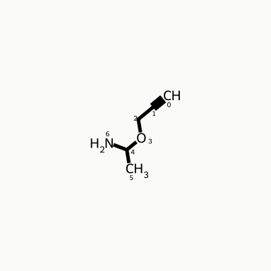 C#CCOC(C)N